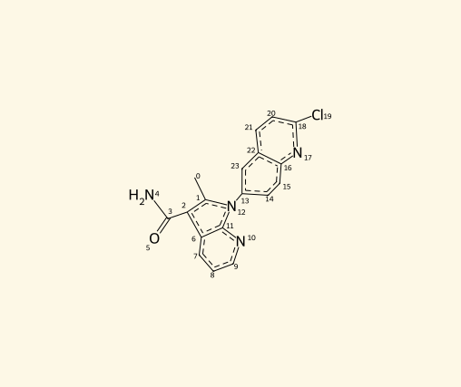 Cc1c(C(N)=O)c2cccnc2n1-c1ccc2nc(Cl)ccc2c1